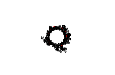 CCCC[C@H]1C(=O)N(C)[C@@H](CCCC)C(=O)N[C@@H](CCCNC(=N)N)C(=O)N[C@H](C(=O)NCC(N)=O)CSCC(=O)N[C@@H](Cc2ccccc2)C(=O)N(C)[C@@H](C)C(=O)N[C@H](CC(N)=O)C(=O)N2CCC[C@H]2C(=O)N[C@@H](Cc2cnc[nH]2)C(=O)N[C@@H](CC(C)C)C(=O)N(C)CC(=O)N[C@@H](Cc2c[nH]c3ccccc23)C(=O)N[C@@H](CO)C(=O)N[C@@H](Cc2c[nH]c3ccccc23)C(=O)N1C